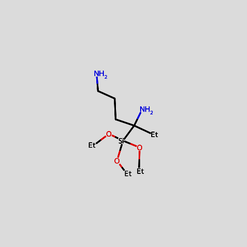 [CH2]CC(N)(CCCN)[Si](OCC)(OCC)OCC